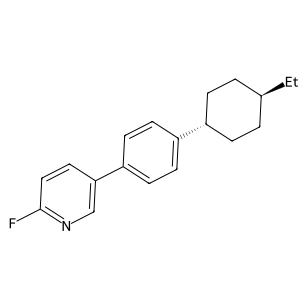 CC[C@H]1CC[C@H](c2ccc(-c3ccc(F)nc3)cc2)CC1